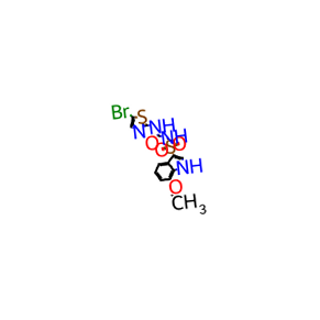 CCOc1cccc2c(S(=O)(=O)NC(=O)Nc3ncc(Br)s3)c[nH]c12